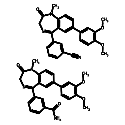 COc1ccc(-c2ccc3c(c2)C(c2cccc(C#N)c2)=NCC(=O)N3C)cc1OC.COc1ccc(-c2ccc3c(c2)C(c2cccc(C(N)=O)c2)=NCC(=O)N3C)cc1OC